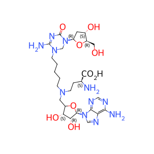 NC1=NC(=O)N([C@H]2C[C@H](O)[C@@H](CO)O2)CN1CCCCCN(CC[C@H](N)C(=O)O)CC1O[C@@H](n2cnc3c(N)ncnc32)[C@H](O)[C@@H]1O